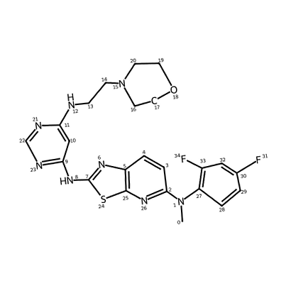 CN(c1ccc2nc(Nc3cc(NCCN4CCOCC4)ncn3)sc2n1)c1ccc(F)cc1F